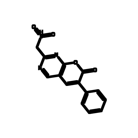 O=c1oc2nc(C[SH](=O)=O)ncc2cc1-c1ccccc1